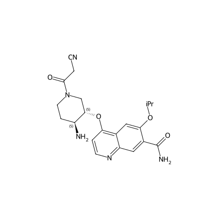 CC(C)Oc1cc2c(O[C@H]3CN(C(=O)CC#N)CC[C@@H]3N)ccnc2cc1C(N)=O